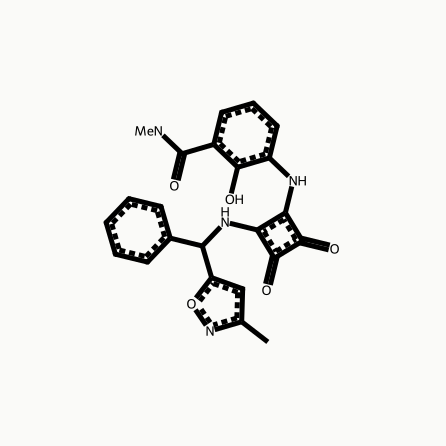 CNC(=O)c1cccc(Nc2c(NC(c3ccccc3)c3cc(C)no3)c(=O)c2=O)c1O